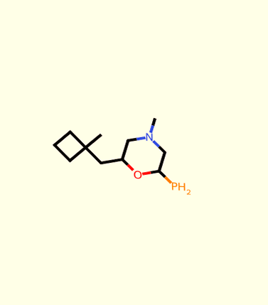 CN1CC(P)OC(CC2(C)CCC2)C1